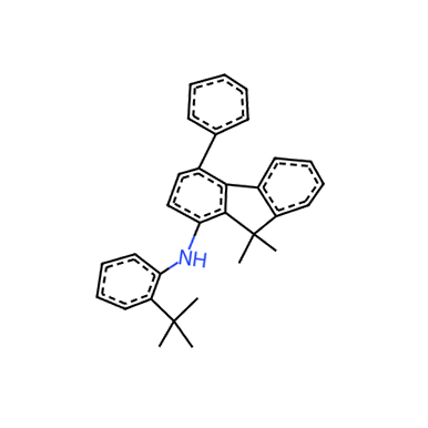 CC(C)(C)c1ccccc1Nc1ccc(-c2ccccc2)c2c1C(C)(C)c1ccccc1-2